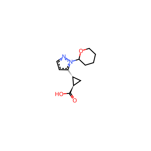 O=C(O)[C@@H]1C[C@H]1c1ccnn1C1CCCCO1